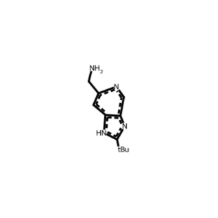 CC(C)(C)c1nc2cnc(CN)cc2[nH]1